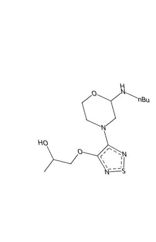 CCCCNC1CN(c2nsnc2OCC(C)O)CCO1